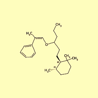 CCCC(CC[C@@H]1[C@@H](C)CCCC1(C)C)OC=C(C)c1ccccc1